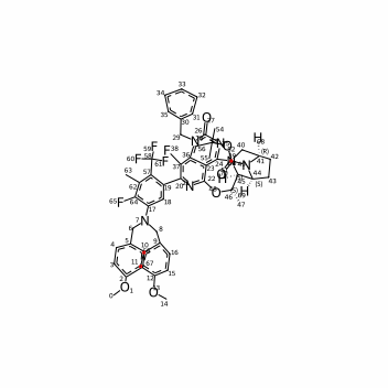 COc1ccc(CN(Cc2ccc(OC)cc2)c2cc(-c3nc4c5c(nc(=O)n(Cc6ccccc6)c5c3F)N3C[C@H]5CC[C@@H]([C@H]3[C@H](C)O4)N5C(=O)OC(C)(C)C)c(C(F)(F)F)c(C)c2F)cc1